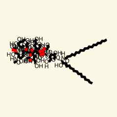 CCCCCCCCCCCCC/C=C/[C@@H](O)[C@H](CO[C@@H]1OC(CO)[C@@H](O[C@@H]2OC(CO)[C@H](O[C@@H]3OC(CO)[C@H](O)[C@H](O[C@@H]4OC(CO)[C@H](O[C@@H]5OC(CO)[C@H](O)[C@H](O)C5NC(C)=O)[C@H](O[C@]5(C(=O)O)CC(O)[C@@H](NC(C)=O)C([C@H](O)[C@H](O)CO)O5)C4O)C3NC(C)=O)[C@H](O[C@]3(C(=O)O)CC(O)[C@@H](NC(=O)CO)C([C@H](O)[C@H](O)CO)O3)C2O)[C@H](O)C1O)NC(=O)CCCCCCCCCCCCCCCCCCC